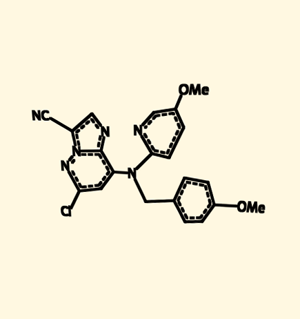 COc1ccc(CN(c2ccc(OC)cn2)c2cc(Cl)nn3c(C#N)cnc23)cc1